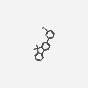 CC1(C)c2ccccc2-c2ccc(-c3cccc(Br)n3)cc21